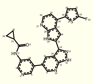 O=C(Nc1cncc(-c2cnc3[nH]nc(-c4cc5c(-c6ccc(F)s6)ccnc5[nH]4)c3c2)c1)C1CC1